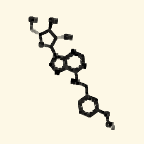 OC[C@H]1OC(n2cnc3c(NCc4cccc(OC(F)(F)F)c4)ncnc32)[C@@H](O)[C@@H]1O